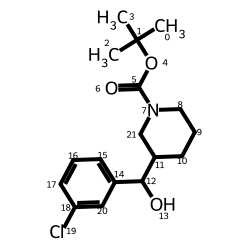 CC(C)(C)OC(=O)N1CCCC(C(O)c2cccc(Cl)c2)C1